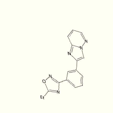 CCc1nc(-c2cccc(-c3cn4ncccc4n3)c2)no1